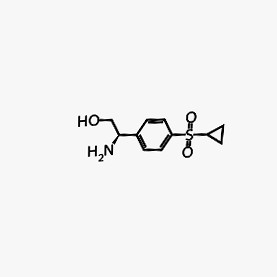 N[C@@H](CO)c1ccc(S(=O)(=O)C2CC2)cc1